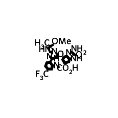 COC[C@H](C)Nc1nc(Oc2cccc3[nH]c(=O)c(N)nc23)cc(-c2ccc(C(F)(F)F)cc2NC(=O)O)n1